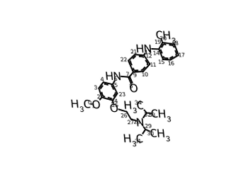 COc1ccc(NC(=O)c2ccc(Nc3ccccc3C)cc2)cc1OCCN(C(C)C)C(C)C